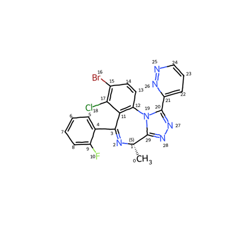 C[C@@H]1N=C(c2ccccc2F)c2c(ccc(Br)c2Cl)-n2c(-c3cccnn3)nnc21